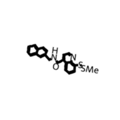 CSSc1cccc2c(C(=O)NCc3ccc4ccccc4c3)ccnc12